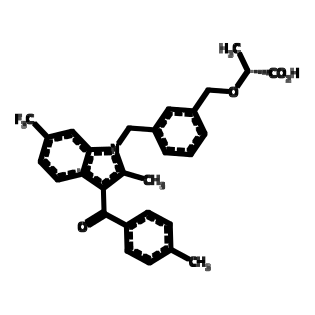 Cc1ccc(C(=O)c2c(C)n(Cc3cccc(CO[C@H](C)C(=O)O)c3)c3cc(C(F)(F)F)ccc23)cc1